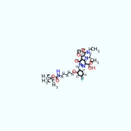 CCN1C[C@H](C)n2c(c(OC)c3c(=O)n(Cc4ccc(F)cc4OCCCCCNC(=O)OC(C)(C)C)nc(C(=O)O)c32)C1=O